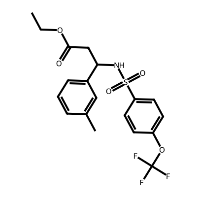 CCOC(=O)CC(NS(=O)(=O)c1ccc(OC(F)(F)F)cc1)c1cccc(C)c1